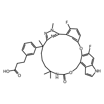 Cn1nc2nc1-c1cc(ccc1F)Oc1c(F)cc3[nH]ccc3c1COC(=O)NC(C)(C)CCCC2(C)c1cccc(CCC(=O)O)c1